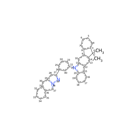 CC1(C)c2ccccc2-c2cc3c(cc21)c1ccccc1n3-c1cccc(-c2cc3cc4ccccc4cn3n2)c1